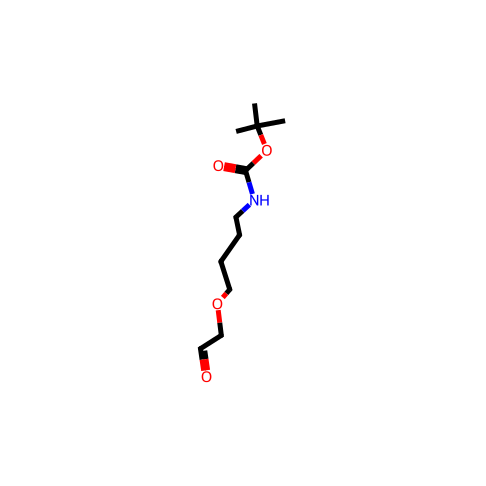 CC(C)(C)OC(=O)NCCCCOCC=O